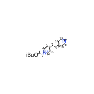 CC(C)COCC[n+]1ccc(CCc2ccncc2)cc1